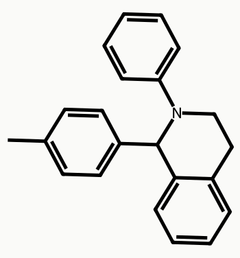 Cc1ccc(C2c3ccccc3CCN2c2ccccc2)cc1